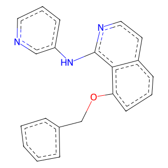 c1ccc(COc2cccc3ccnc(Nc4cccnc4)c23)cc1